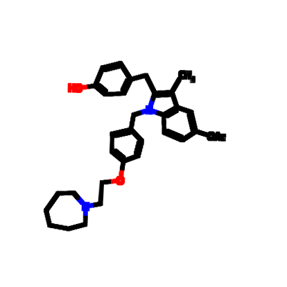 CC(=O)Oc1ccc2c(c1)c(C)c(Cc1ccc(O)cc1)n2Cc1ccc(OCCN2CCCCCC2)cc1